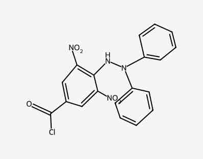 O=C(Cl)c1cc([N+](=O)[O-])c(NN(c2ccccc2)c2ccccc2)c([N+](=O)[O-])c1